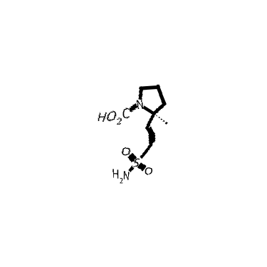 C[C@@]1(/C=C/S(N)(=O)=O)CCCN1C(=O)O